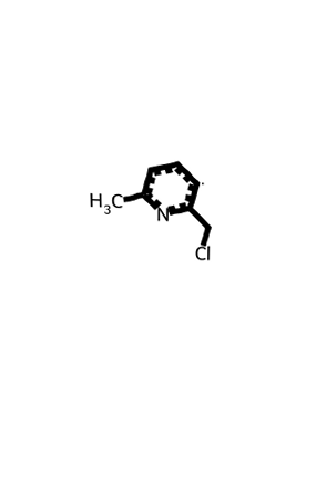 Cc1cc[c]c(CCl)n1